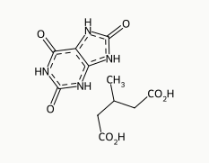 CC(CC(=O)O)CC(=O)O.O=c1[nH]c(=O)c2[nH]c(=O)[nH]c2[nH]1